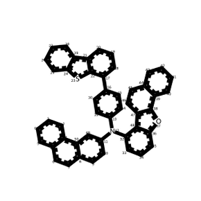 c1ccc2c(c1)ccc1ccc(N(c3ccc(-c4cccc5c4sc4ccccc45)cc3)c3cccc4oc5c6ccccc6ccc5c34)cc12